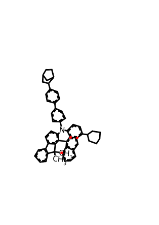 CC1(C)c2ccccc2-c2ccc(N(c3ccc(-c4ccc(C5CC6CCC5C6)cc4)cc3)c3ccc(C4CCCCC4)cc3)c(-c3cccc4ccccc34)c21